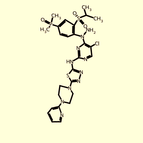 CC(C)S(=O)(=O)c1cc(P(C)(C)=O)ccc1N(N)c1nc(Nc2nnc(N3CCN(c4ccccn4)CC3)s2)ncc1Cl